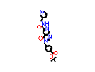 CC(C)(C)OC(=O)c1ccc(Cn2cnc3cnc(C(=O)NCc4cccnc4)cc3c2=O)cc1